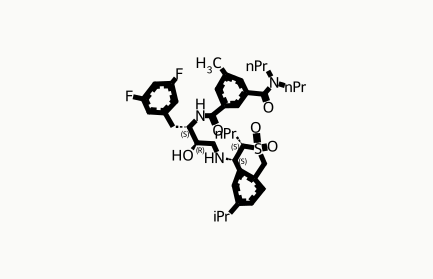 CCC[C@H]1[C@@H](NC[C@@H](O)[C@H](Cc2cc(F)cc(F)c2)NC(=O)c2cc(C)cc(C(=O)N(CCC)CCC)c2)c2cc(C(C)C)ccc2CS1(=O)=O